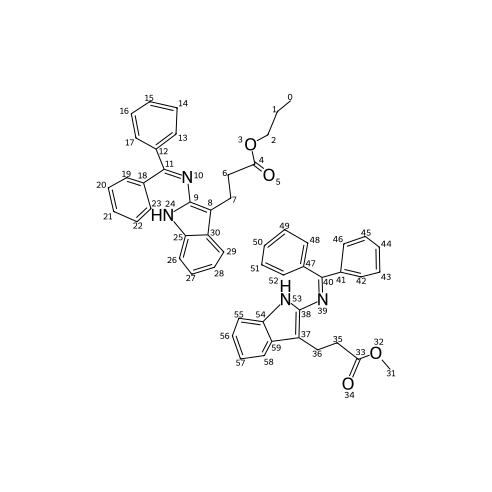 CCCOC(=O)CCc1c(N=C(c2ccccc2)c2ccccc2)[nH]c2ccccc12.COC(=O)CCc1c(N=C(c2ccccc2)c2ccccc2)[nH]c2ccccc12